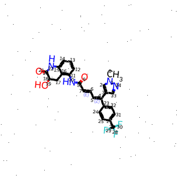 Cn1cc(/C(=C\C=C\C(=O)Nc2cccc3c2CC(O)C(=O)N3)c2ccc(C(F)(F)F)cc2)cn1